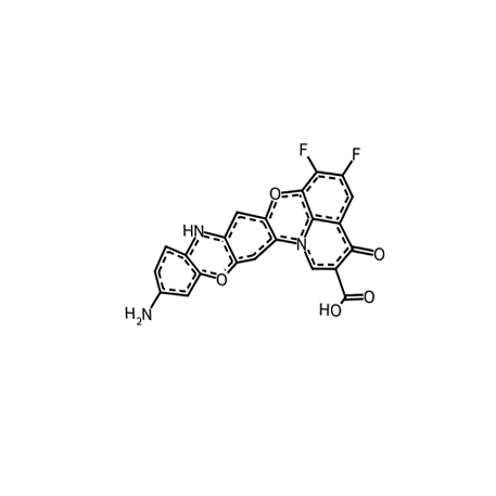 Nc1ccc2[nH]c3cc4oc5c(F)c(F)cc6c(=O)c(C(=O)O)cn(c4cc3oc2c1)c56